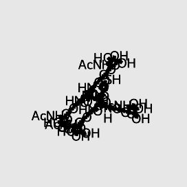 CC(=O)NC1C(OCCOCCNC(=O)CN(CC(=O)NCCOCCOCCOC2OC(CO)C(O)C(O)C2NC(C)=O)C(=O)CCC(NC(=O)c2ccc(OS)cc2)C(=O)N(CC(=O)NCCOCCOC2OC(CO)C(O)C(O)C2NC(C)=O)CC(=O)NCCOCCOC2OC(CO)C(O)C(O)C2NC(C)=O)OC(CO)C(O)C1O